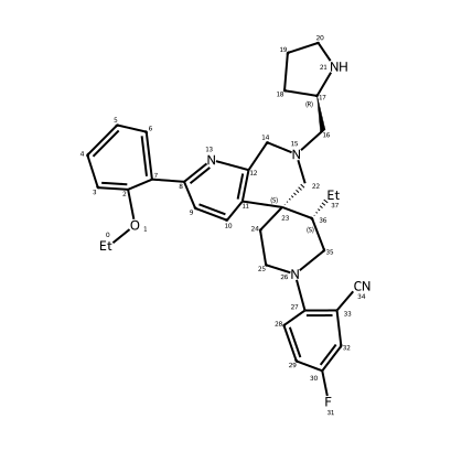 CCOc1ccccc1-c1ccc2c(n1)CN(C[C@H]1CCCN1)C[C@]21CCN(c2ccc(F)cc2C#N)C[C@H]1CC